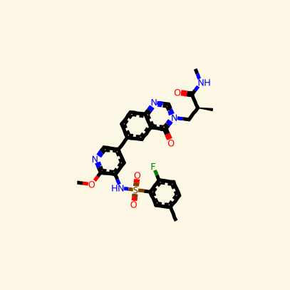 CNC(=O)[C@@H](C)Cn1cnc2ccc(-c3cnc(OC)c(NS(=O)(=O)c4cc(C)ccc4F)c3)cc2c1=O